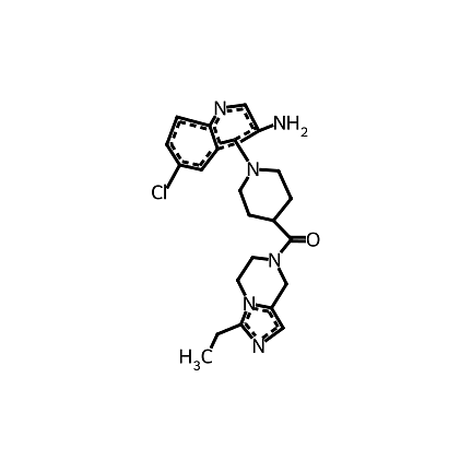 CCc1ncc2n1CCN(C(=O)C1CCN(c3c(N)cnc4ccc(Cl)cc34)CC1)C2